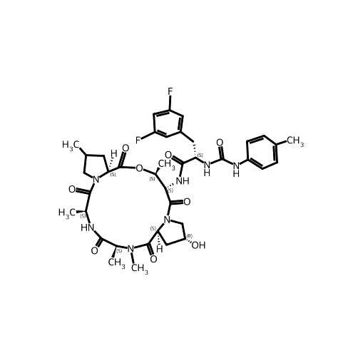 Cc1ccc(NC(=O)N[C@@H](Cc2cc(F)cc(F)c2)C(=O)N[C@@H]2C(=O)N3C[C@H](O)C[C@H]3C(=O)N(C)[C@@H](C)C(=O)N[C@@H](C)C(=O)N3CC(C)C[C@H]3C(=O)O[C@H]2C)cc1